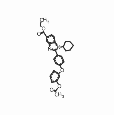 CCOC(=O)c1ccc2c(c1)nc(-c1ccc(Oc3cccc(OC(C)=O)c3)cc1)n2C1CCCCC1